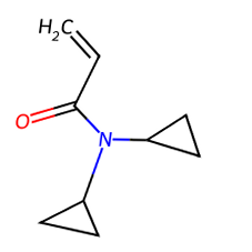 C=CC(=O)N(C1CC1)C1CC1